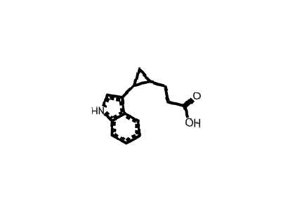 O=C(O)CCC1CC1c1c[nH]c2ccccc12